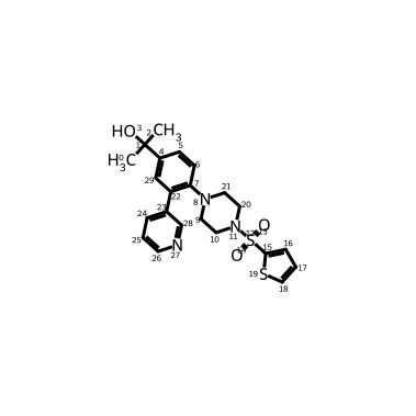 CC(C)(O)c1ccc(N2CCN(S(=O)(=O)c3cccs3)CC2)c(-c2cccnc2)c1